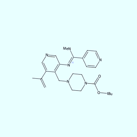 C=C(C)c1cncc(/N=C(\NC)c2ccncc2)c1CN1CCN(C(=O)OC(C)(C)C)CC1